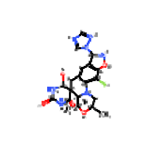 C[C@@H]1CN2c3c(cc4c(-n5cncn5)noc4c3F)CC3(C(=O)NC(=O)NC3=O)[C@@H]2[C@@H](C)O1